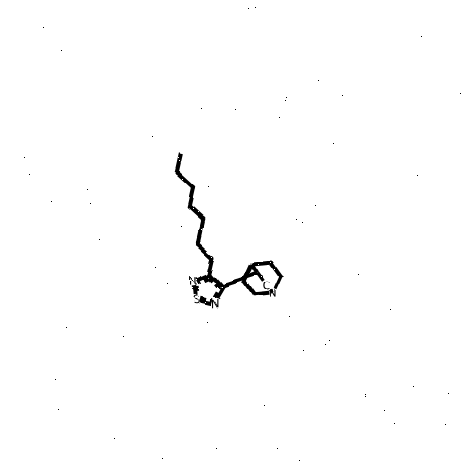 CCCCCCCc1nsnc1C1CN2CCC1CC2